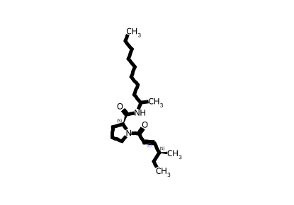 CCCCCCCCC(C)NC(=O)[C@@H]1CCCN1C(=O)/C=C/[C@@H](C)CC